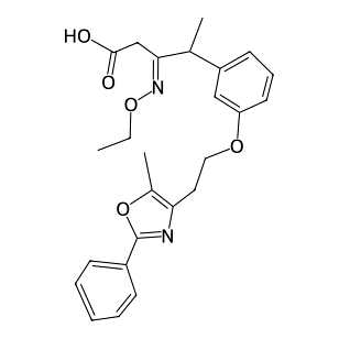 CCON=C(CC(=O)O)C(C)c1cccc(OCCc2nc(-c3ccccc3)oc2C)c1